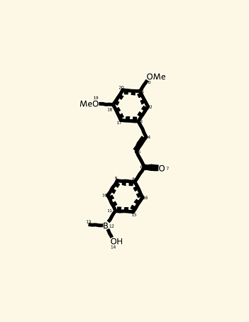 COc1cc(/C=C/C(=O)c2ccc(B(C)O)cc2)cc(OC)c1